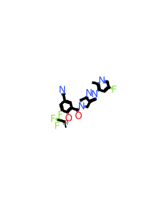 Cc1ncc(F)cc1-n1cc2c(n1)CN(C(=O)c1cc(C#N)ccc1O[C@@H](C)C(F)(F)F)C2